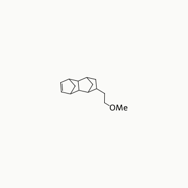 COCCC1CC2CC1C1C3C=CC(C3)C21